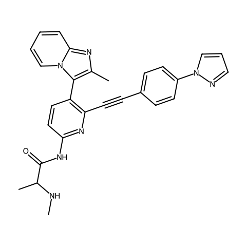 CNC(C)C(=O)Nc1ccc(-c2c(C)nc3ccccn23)c(C#Cc2ccc(-n3cccn3)cc2)n1